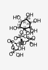 O=P(O)(O)OP(=O)(O)OP(=O)(O[C@]1(O)[C@H](O)[C@H](O)[C@@H](O)[C@H](O)[C@H]1O)OP(=O)(O)O